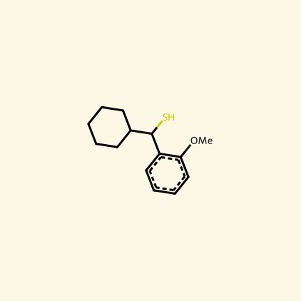 COc1ccccc1C(S)C1CCCCC1